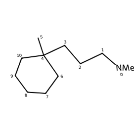 CNCCCC1(C)CCCCC1